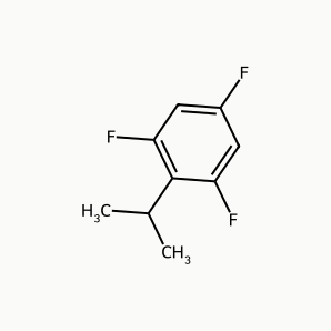 CC(C)c1c(F)cc(F)cc1F